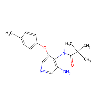 Cc1ccc(Oc2cncc(N)c2NC(=O)C(C)(C)C)cc1